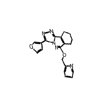 c1ccc(COc2nn3c(-c4ccoc4)nnc3c3c2CCCC3)nc1